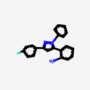 Nc1ccccc1-c1cc(-c2ccc(F)cc2)nn1-c1ccccc1